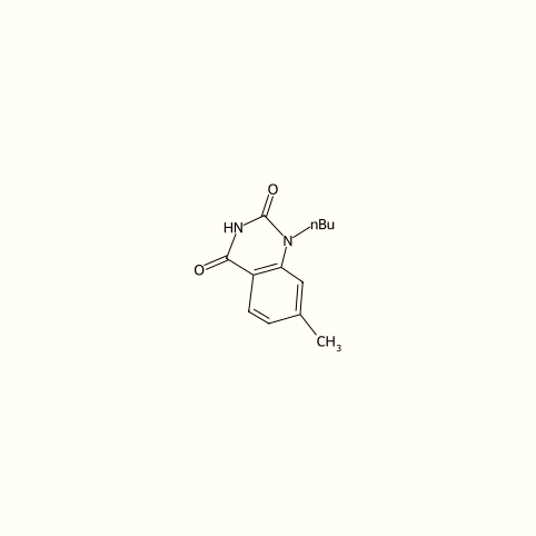 CCCCn1c(=O)[nH]c(=O)c2ccc(C)cc21